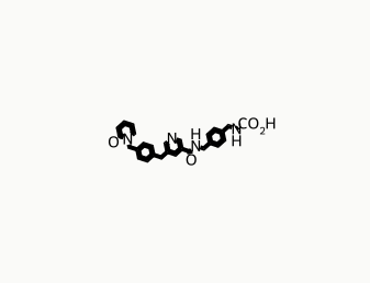 O=C(O)NCc1ccc(CNC(=O)c2cncc(Cc3ccc(Cn4ccccc4=O)cc3)c2)cc1